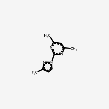 Cc1cc(C)nc(-n2ccc(C(F)(F)F)n2)n1